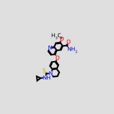 COc1cc2nccc(Oc3ccc4c(c3)CCCN4C(=S)NC3CC3)c2cc1C(N)=O